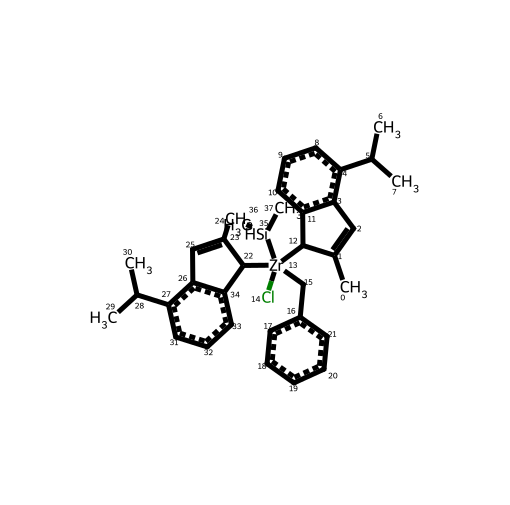 CC1=Cc2c(C(C)C)cccc2[CH]1[Zr]([Cl])([CH2]c1ccccc1)([CH]1C(C)=Cc2c(C(C)C)cccc21)[SiH](C)C